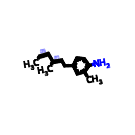 C/C=C\C(C)=C\Cc1ccc(N)c(C)c1